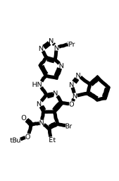 CCc1c(Br)c2c(On3nnc4ccccc43)nc(Nc3cnc4c(c3)nnn4C(C)C)nc2n1C(=O)OC(C)(C)C